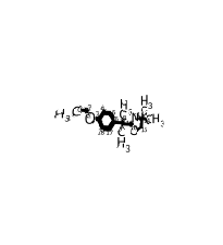 CCOc1ccc(C(C)(C)C2=NC(C)(C)CO2)cc1